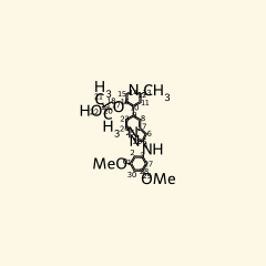 COc1cc(Nc2cc3cc(-c4cc(C)ncc4OCC(C)(C)O)ccn3n2)cc(OC)c1